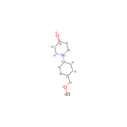 CCOCC1CCC(N2CCC(=O)CC2)CC1